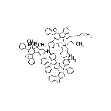 CCCCCCCC1(CCCCCCC)c2ccccc2-c2c1c1c(c3c2oc2ccccc23)-c2ccc(N(c3ccc4c(c3)C(C)(C)c3c5c(c6oc7ccccc7c6c3-4)-c3ccccc3C5(C)C)c3ccc4c(c3)C(c3ccccc3)(c3ccccc3)c3cc5c(cc3-4)C(c3ccccc3)(c3ccccc3)c3ccc4oc6ccccc6c4c3-5)cc2C1(CCCCCCC)CCCCCCC